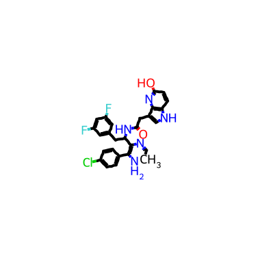 C/C=N\C(=C(/N)c1ccc(Cl)cc1)C(Cc1cc(F)cc(F)c1)NC(=O)Cc1c[nH]c2ccc(O)nc12